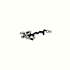 C/C(=C\C=C\c1ncnc2c1ncn2P(=O)(O)O)CO